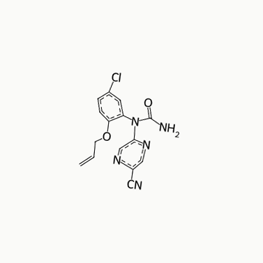 C=CCOc1ccc(Cl)cc1N(C(N)=O)c1cnc(C#N)cn1